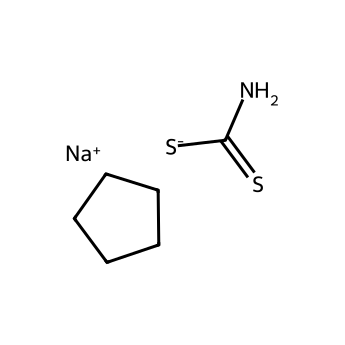 C1CCCC1.NC(=S)[S-].[Na+]